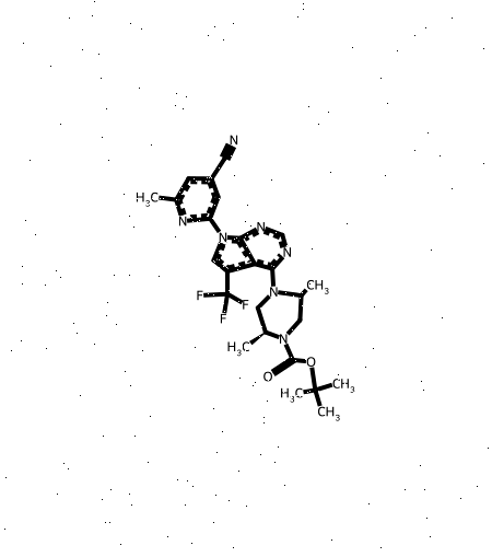 Cc1cc(C#N)cc(-n2cc(C(F)(F)F)c3c(N4C[C@H](C)N(C(=O)OC(C)(C)C)CC4C)ncnc32)n1